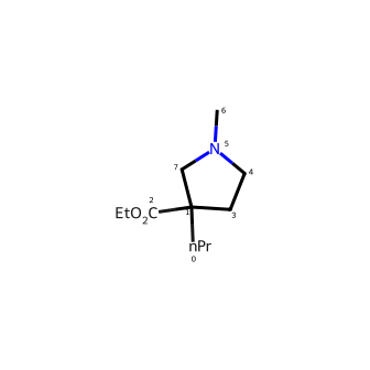 CCCC1(C(=O)OCC)CCN(C)C1